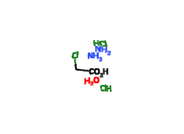 Cl.Cl.N.N.O.O=C(O)CCl